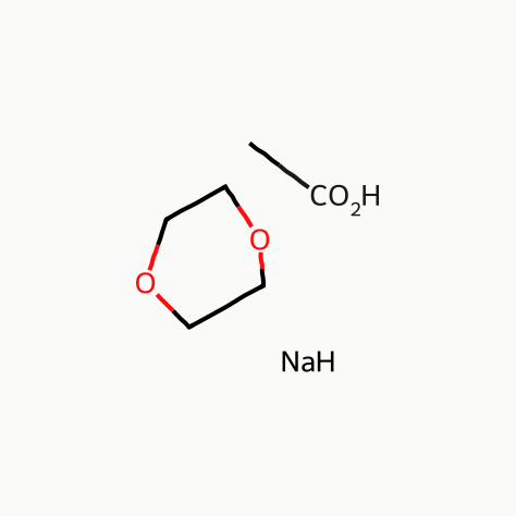 C1COCCO1.CC(=O)O.[NaH]